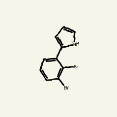 Brc1cccc(-c2ccc[nH]2)c1Br